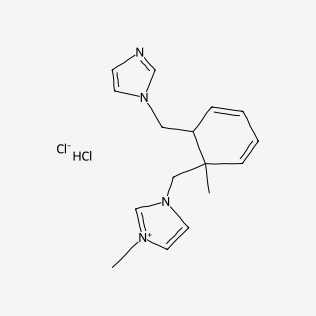 C[n+]1ccn(CC2(C)C=CC=CC2Cn2ccnc2)c1.Cl.[Cl-]